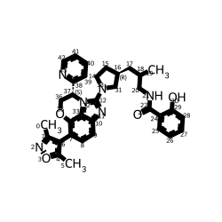 Cc1noc(C)c1-c1ccc2nc(N3CC[C@@H](CC(C)CNC(=O)c4ccccc4O)C3)n3c2c1OC[C@@H]3c1ccccn1